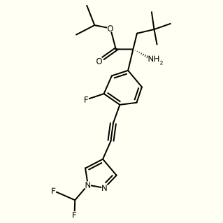 CC(C)OC(=O)[C@@](N)(CC(C)(C)C)c1ccc(C#Cc2cnn(C(F)F)c2)c(F)c1